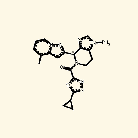 Cc1cccn2nc([C@H]3c4ncn(P)c4CCN3C(=O)c3nnc(C4CC4)o3)cc12